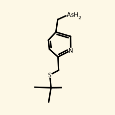 CC(C)(C)SCc1ccc(C[AsH2])cn1